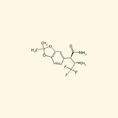 C[C@H]([C@H](C(N)=O)c1ccc2c(c1)OC(C)(C)O2)C(F)(F)F